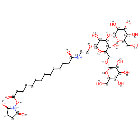 O=C(CCCCCCCCCCCCC(=O)ON1C(=O)CCC1=O)NCCO[C@H]1OC(CO[C@H]2OC(CO)[C@@H](O)C(O)C2O)[C@@H](O)C(O[C@H]2OC(CO)[C@@H](O)C(O)C2O)C1O